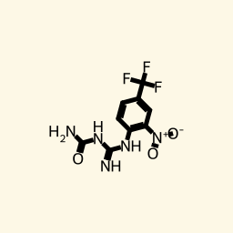 N=C(NC(N)=O)Nc1ccc(C(F)(F)F)cc1[N+](=O)[O-]